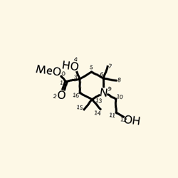 COC(=O)C1(O)CC(C)(C)N(CCO)C(C)(C)C1